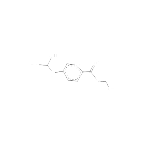 CCNC(=O)c1ccc(OC(C)C)cn1